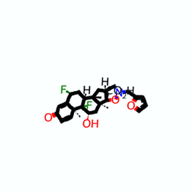 C[C@]12C[C@H](O)[C@@]3(F)[C@@H](C[C@H](F)C4=CC(=O)C=C[C@@]43C)[C@]1(C)C[C@H]1CN(Cc3ccco3)O[C@]12C(=O)O